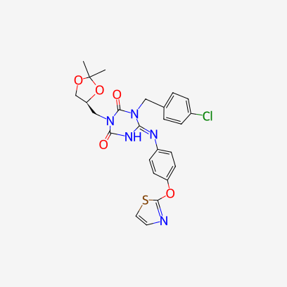 CC1(C)OC[C@H](Cn2c(=O)[nH]/c(=N\c3ccc(Oc4nccs4)cc3)n(Cc3ccc(Cl)cc3)c2=O)O1